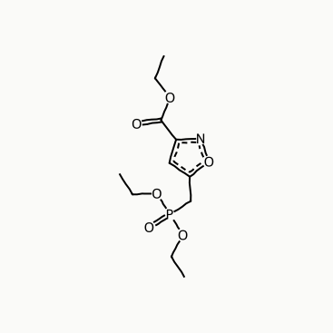 CCOC(=O)c1cc(CP(=O)(OCC)OCC)on1